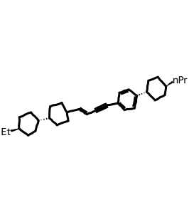 CCC[C@H]1CC[C@H](c2ccc(C#C/C=C/C3CCC([C@H]4CC[C@H](CC)CC4)CC3)cc2)CC1